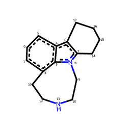 c1cc2c3c(c1)c1c(n3CCNCC2)CCCC1